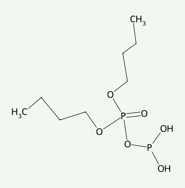 CCCCOP(=O)(OCCCC)OP(O)O